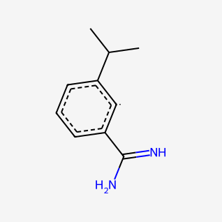 CC(C)c1[c]c(C(=N)N)ccc1